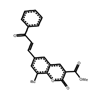 CCC(C)c1cc(C=CC(=O)c2ccccc2)cc2cc(C(=O)OC)c(=O)oc12